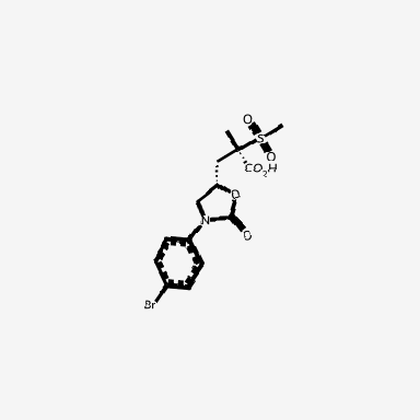 C[C@@](C[C@H]1CN(c2ccc(Br)cc2)C(=O)O1)(C(=O)O)S(C)(=O)=O